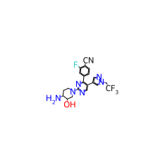 N#Cc1ccc(-c2nc(N3CCC(N)C(O)C3)ncc2-c2cnn(CC(F)(F)F)c2)cc1F